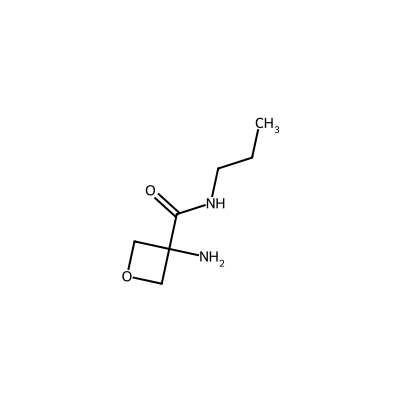 CCCNC(=O)C1(N)COC1